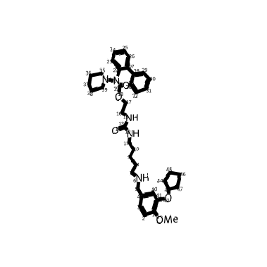 COc1ccc(CNCCCCCNC(=O)NCCOC(=O)N(c2ccccc2-c2ccccc2)N2CC[CH]CC2)cc1OC1CCCC1